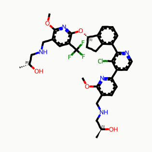 COc1nc(-c2ccnc(-c3cccc4c3CC[C@@H]4Oc3nc(OC)c(CNC[C@@H](C)O)cc3C(F)(F)F)c2Cl)ccc1CNC[C@H](C)O